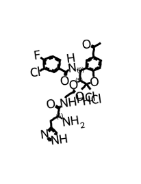 CC(=O)c1ccc2c(c1)[C@@H](NC(=O)c1ccc(F)c(Cl)c1)[C@H](OC(=O)CNC(=O)[C@@H](N)Cc1c[nH]cn1)C(C)(C)O2.Cl.Cl